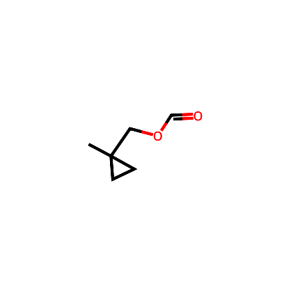 CC1(COC=O)CC1